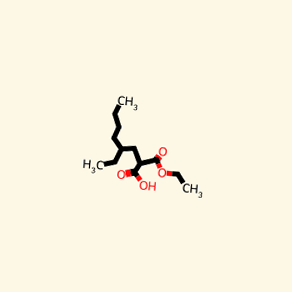 CCCCC(CC)CC(C(=O)O)C(=O)OCC